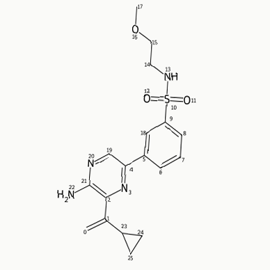 C=C(c1nc(-c2cccc(S(=O)(=O)NCCOC)c2)cnc1N)C1CC1